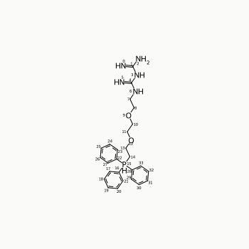 N=C(N)NC(=N)NCCOCCOCC[PH](c1ccccc1)(c1ccccc1)c1ccccc1